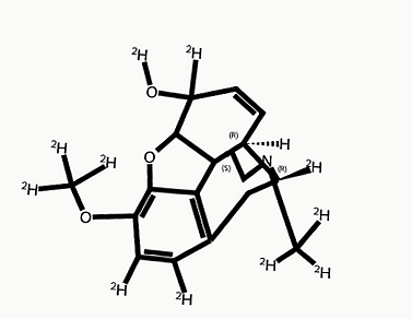 [2H]OC1([2H])C=C[C@@H]2[C@@]34CCN(C([2H])([2H])[2H])[C@]2([2H])Cc2c([2H])c([2H])c(OC([2H])([2H])[2H])c(c23)OC14